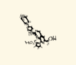 C[C@@H](O)c1cc2cnc(Nc3ccc(N4CCNCC4)nn3)nc2c(N2CCCC2C(=O)O)n1